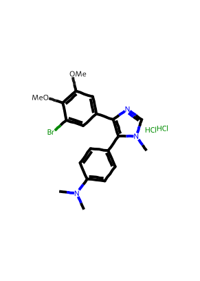 COc1cc(-c2ncn(C)c2-c2ccc(N(C)C)cc2)cc(Br)c1OC.Cl.Cl